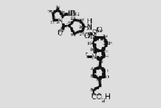 Cn1c(-c2ccc(CCC(=O)O)cc2)cc2ccc(S(=O)(=O)N[C@H]3CC[C@H](C(=O)N4CCCC4C(C)(C)C)CC3)cc21